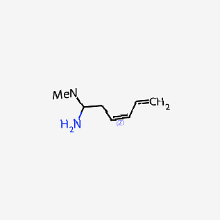 C=C/C=C\CC(N)NC